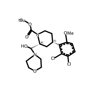 COc1ccc(Cl)c(Cl)c1[C@H]1CCN(C(=O)OC(C)(C)C)[C@@H](C(O)N2CCOCC2)C1